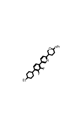 CCCC1CCC(c2ccc(-c3ccc(C4CCC(CC)CC4)c(F)c3F)cn2)CO1